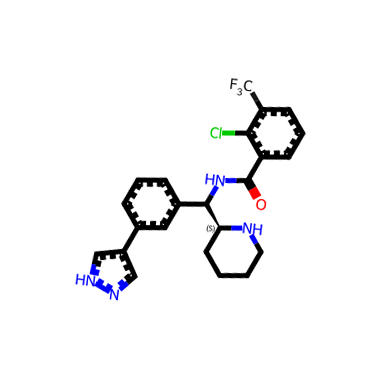 O=C(NC(c1cccc(-c2cn[nH]c2)c1)[C@@H]1CCCCN1)c1cccc(C(F)(F)F)c1Cl